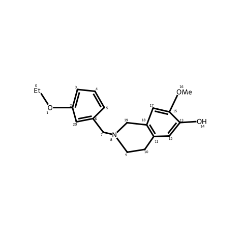 CCOc1cccc(CN2CCc3cc(O)c(OC)cc3C2)c1